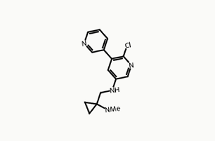 CNC1(CNc2cnc(Cl)c(-c3cccnc3)c2)CC1